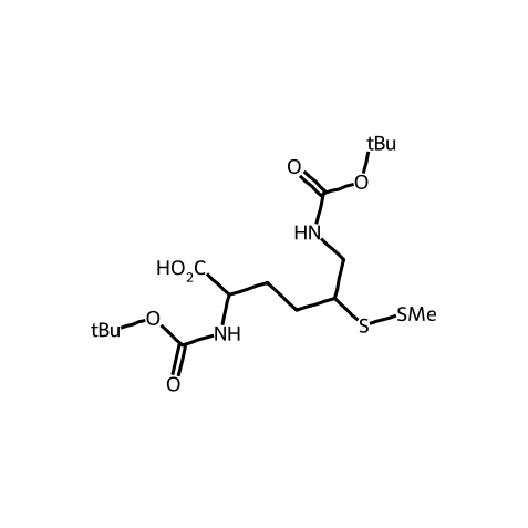 CSSC(CCC(NC(=O)OC(C)(C)C)C(=O)O)CNC(=O)OC(C)(C)C